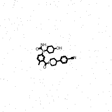 Cc1ccc(N(C(N)=O)C2CCC(O)CC2)cc1C(=O)N1CCC(c2ccc(C#N)cc2)CC1